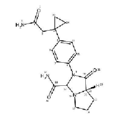 NC(=O)CC1(c2ccc(N3C(=O)[C@@H]4[CH]CCN4C3C(N)=O)cc2)CC1